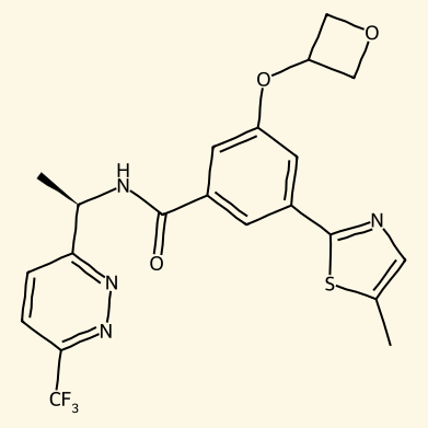 Cc1cnc(-c2cc(OC3COC3)cc(C(=O)N[C@H](C)c3ccc(C(F)(F)F)nn3)c2)s1